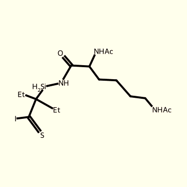 CCC(CC)([SiH2]NC(=O)C(CCCCNC(C)=O)NC(C)=O)C(=S)I